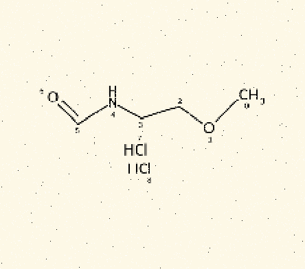 COCCNC=O.Cl.Cl